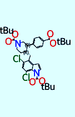 CC(C)(C)OC(=O)c1ccc([C@@H]2CN(C(=O)OC(C)(C)C)CC[C@H]2Cc2c(Cl)cc(Cl)c3c2ccn3C(=O)OC(C)(C)C)cc1